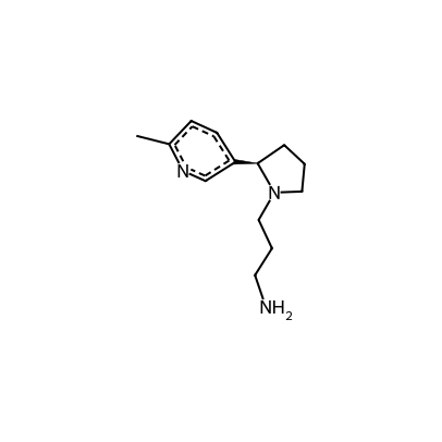 Cc1ccc([C@H]2CCCN2CCCN)cn1